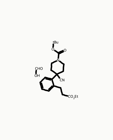 CCOC(=O)CCc1ccccc1C1(C#N)CCN(C(=O)OC(C)(C)C)CC1.O=CO